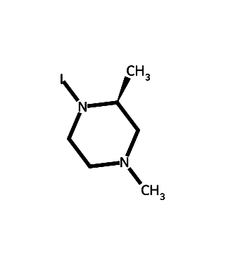 C[C@H]1CN(C)CCN1I